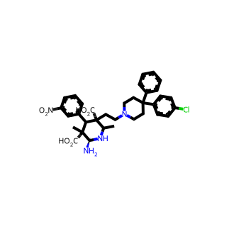 CC1N[C@@H](N)C(C)(C(=O)O)C(c2cccc([N+](=O)[O-])c2)C1(CCN1CCC(c2ccccc2)(c2ccc(Cl)cc2)CC1)C(=O)O